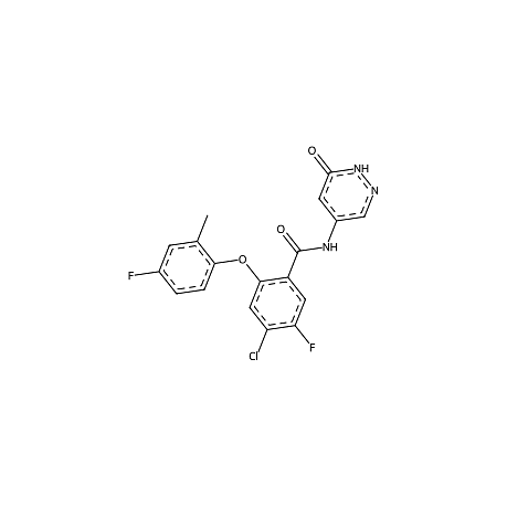 Cc1cc(F)ccc1Oc1cc(Cl)c(F)cc1C(=O)Nc1cn[nH]c(=O)c1